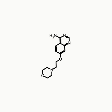 Nc1ncnc2cc(OCCN3CCOCC3)ccc12